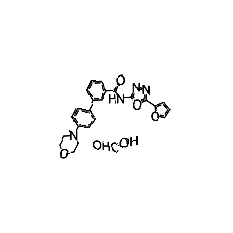 O=C(Nc1nnc(-c2ccco2)o1)c1cccc(-c2ccc(N3CCOCC3)cc2)c1.O=CO